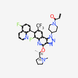 C=CC(=O)N1CCC(n2nnc3c(O[C@@H](C)[C@@H]4CCCN4C)nc4c(F)c(-c5ccc(F)c6cccnc56)c(C(F)(F)F)cc4c32)CC1